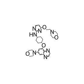 c1cc(OCCN2CCOCC2)nc(N[C@H]2CC[C@@H](Oc3cc(N4CCOCC4)cc4nccnc34)CC2)n1